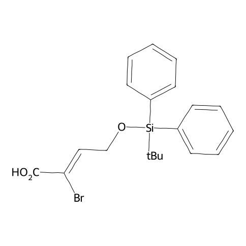 CC(C)(C)[Si](OCC=C(Br)C(=O)O)(c1ccccc1)c1ccccc1